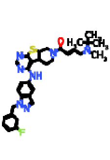 CN(C/C=C/C(=O)N1CCc2c(sc3ncnc(Nc4ccc5c(cnn5Cc5cccc(F)c5)c4)c23)C1)C(C)(C)C